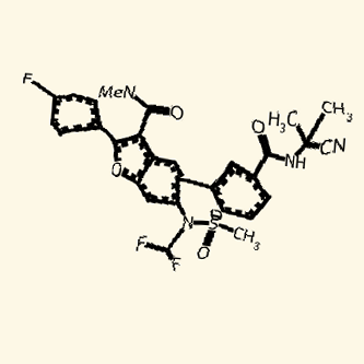 CNC(=O)c1c(-c2ccc(F)cc2)oc2cc(N(C(F)F)S(C)(=O)=O)c(-c3cccc(C(=O)NC(C)(C)C#N)c3)cc12